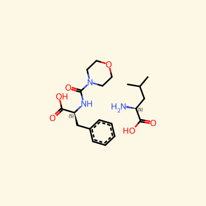 CC(C)C[C@H](N)C(=O)O.O=C(O)[C@H](Cc1ccccc1)NC(=O)N1CCOCC1